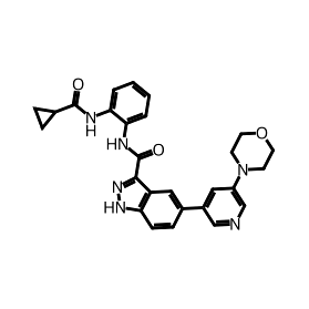 O=C(Nc1ccccc1NC(=O)C1CC1)c1n[nH]c2ccc(-c3cncc(N4CCOCC4)c3)cc12